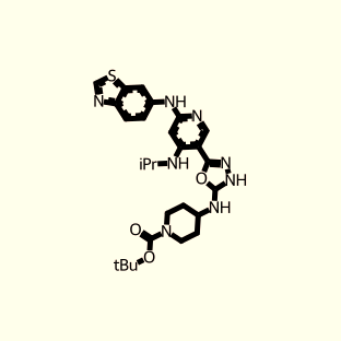 CC(C)Nc1cc(Nc2ccc3ncsc3c2)ncc1C1=NNC(NC2CCN(C(=O)OC(C)(C)C)CC2)O1